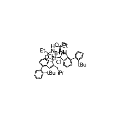 CCC(=O)N[B](NC(=O)CC)[Zr]([Cl])([Cl])([CH]1C(CC(C)C)=Cc2c(-c3ccccc3C(C)(C)C)cccc21)[CH]1C(CC(C)C)=Cc2c(-c3ccccc3C(C)(C)C)cccc21